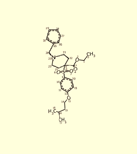 CCOC(=O)C1(S(=O)(=O)c2ccc(OCCC(C)C)cc2)CCN(Cc2ccccc2)CC1